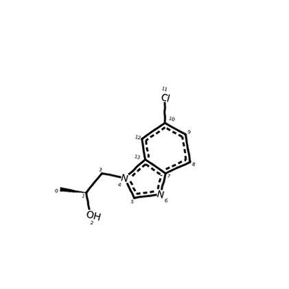 C[C@H](O)Cn1cnc2ccc(Cl)cc21